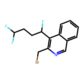 FC(F)CCC(F)c1c(CBr)ncc2ccccc12